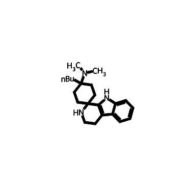 CCCCC1(N(C)C)CCC2(CC1)NCCc1c2[nH]c2ccccc12